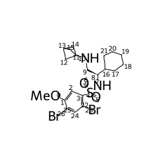 COc1cc(S(=O)(=O)N[C@@H](CNC23CC(C2)C3)C2CCCCC2)c(Br)cc1Br